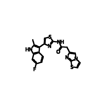 Cc1[nH]c2cc(F)ccc2c1-c1csc(NC(=O)Cc2cn3ccsc3n2)n1